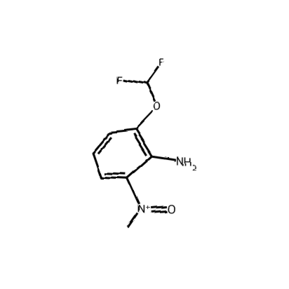 C[N+](=O)c1cccc(OC(F)F)c1N